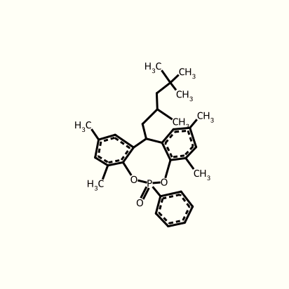 Cc1cc(C)c2c(c1)C(CC(C)CC(C)(C)C)c1cc(C)cc(C)c1OP(=O)(c1ccccc1)O2